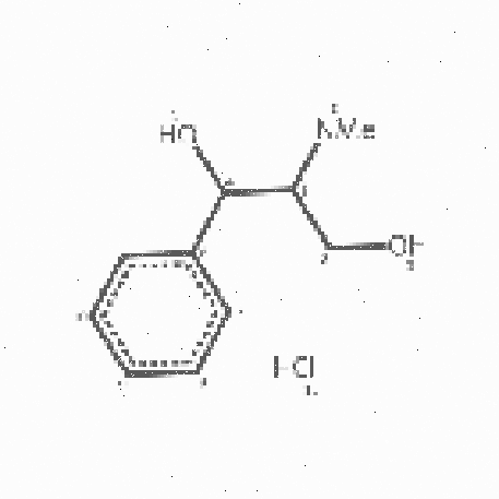 CNC(CO)C(O)c1ccccc1.Cl